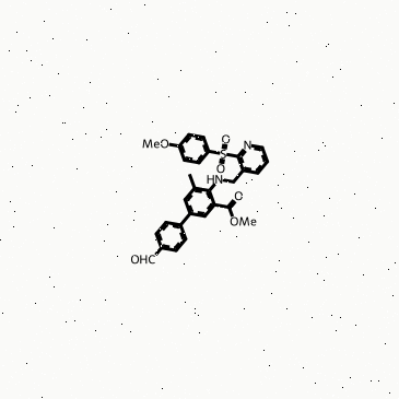 COC(=O)c1cc(-c2ccc(C=O)cc2)cc(C)c1NCc1cccnc1S(=O)(=O)c1ccc(OC)cc1